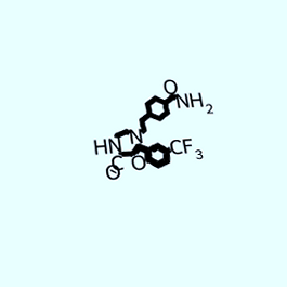 NC(=O)C1CCC(CCN2CCNC(=C=O)c3oc4ccc(C(F)(F)F)cc4c32)CC1